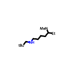 CCC(CCCCNCC(C)(C)C)NC